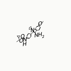 CCOc1ccc2c(N)c(-c3ccc(NC(=O)OC(C)C4CC4)cc3)n(C3CCC3)c2c1